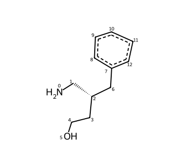 NC[C@@H](CCO)Cc1ccccc1